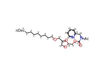 CCCCCCCCCCCCCCCCCCOCC1COC(COC(=O)N(Cc2ccccn2)C(C)=O)O1